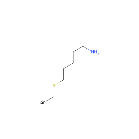 CC(N)CCCCS[CH2][Sn]